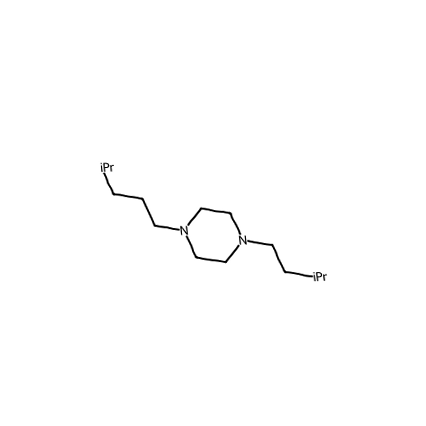 CC(C)CCCN1CCN(CCC(C)C)CC1